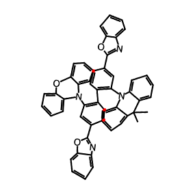 CC1(C)c2ccccc2N(c2cc(-c3nc4ccccc4o3)ccc2-c2ccc(-c3nc4ccccc4o3)cc2N2c3ccccc3Oc3ccccc32)c2ccccc21